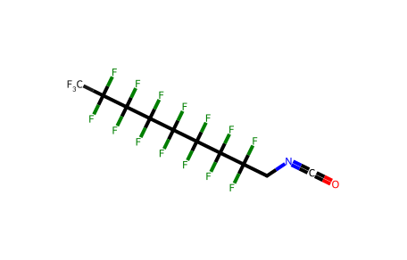 O=C=NCC(F)(F)C(F)(F)C(F)(F)C(F)(F)C(F)(F)C(F)(F)C(F)(F)C(F)(F)F